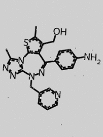 Cc1sc2c(c1CO)C(c1ccc(N)cc1)=NN(Cc1cccnc1)c1nnc(C)n1-2